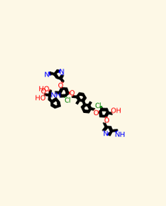 Cc1c(COc2cc(OCc3cncc(C=N)c3)c(CO)cc2Cl)cccc1-c1cccc(COc2cc(OCc3cncc(C#N)c3)c(CNC(CO)(Cc3ccccc3)C(=O)O)cc2Cl)c1C